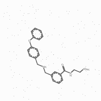 CCCCCCCCCCCCNC(=O)c1cccc(CNCc2ccc(Oc3ccccc3)cc2)c1